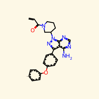 C=CC(=O)N1CCCC(n2nc(-c3ccc(Oc4cc[c]cc4)cc3)c3c(N)ncnc32)C1